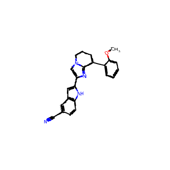 COc1ccccc1C1CCCn2cc(-c3cc4cc(C#N)ccc4[nH]3)nc21